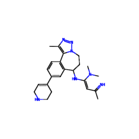 CC(=N)/C=C(/NC1CCn2nnc(C)c2-c2ccc(C3=CCNCC3)cc21)N(C)C